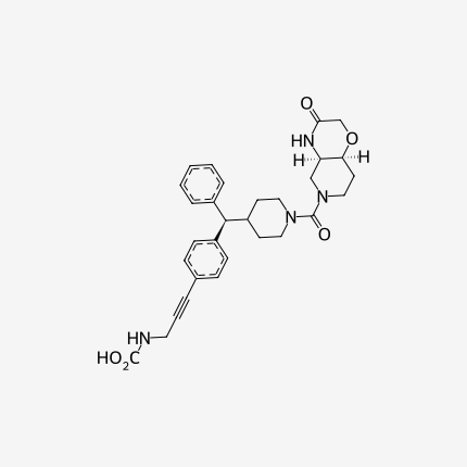 O=C(O)NCC#Cc1ccc([C@@H](c2ccccc2)C2CCN(C(=O)N3CC[C@@H]4OCC(=O)N[C@@H]4C3)CC2)cc1